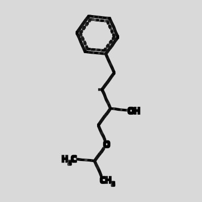 CC(C)OCC(O)[CH]Cc1ccccc1